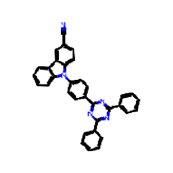 N#Cc1ccc2c(c1)c1ccccc1n2-c1ccc(-c2nc(-c3ccccc3)nc(-c3ccccc3)n2)cc1